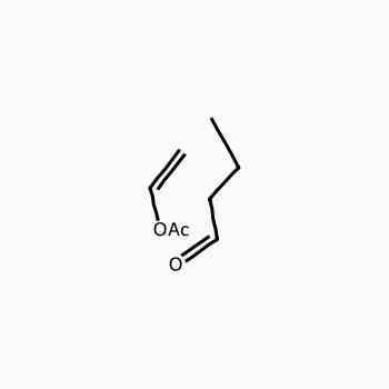 C=COC(C)=O.CCCC=O